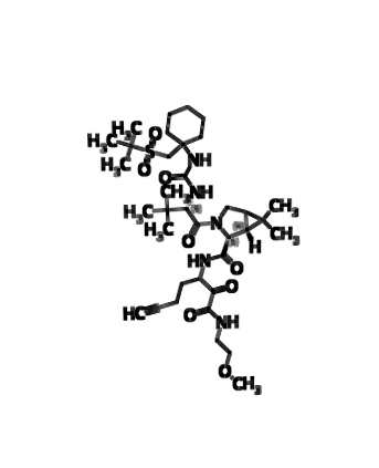 C#CCCC(NC(=O)[C@@H]1[C@@H]2C(CN1C(=O)[C@@H](NC(=O)NC1(CS(=O)(=O)C(C)(C)C)CCCCC1)C(C)(C)C)C2(C)C)C(=O)C(=O)NCCOC